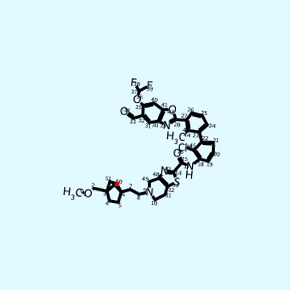 COCC12CCC(CCN3CCc4sc(C(=O)Nc5cccc(-c6cccc(-c7nc8cc(C=O)c(OC(F)F)cc8o7)c6C)c5Cl)nc4C3)(CC1)C2